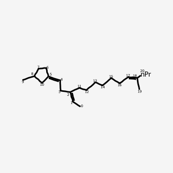 CC=C(CC=C1CCC(C)C1)CCCCCCC=C(C)CCC